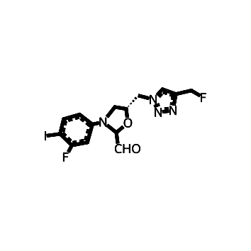 O=CC1O[C@@H](Cn2cc(CF)nn2)CN1c1ccc(I)c(F)c1